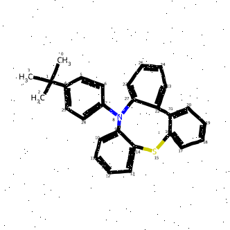 CC(C)(C)c1ccc(-n2c3ccccc3sc3ccccc3c3ccccc32)cc1